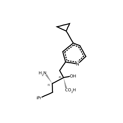 CC(C)C[C@H](N)[C@](O)(Cc1cc(C2CC2)ccn1)C(=O)O